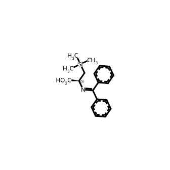 C[Si](C)(C)C[C@@H](N=C(c1ccccc1)c1ccccc1)C(=O)O